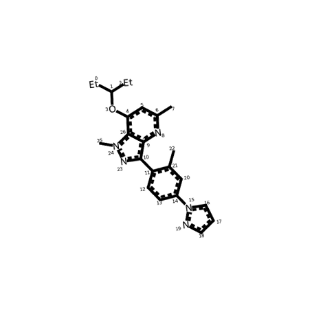 CCC(CC)Oc1cc(C)nc2c(-c3ccc(-n4cccn4)cc3C)nn(C)c12